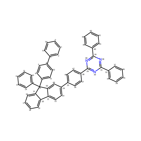 c1ccc(-c2ccc(C3(c4ccccc4)c4ccccc4-c4ccc(-c5ccc(-c6nc(-c7ccccc7)nc(-c7ccccc7)n6)cc5)cc43)cc2)cc1